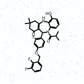 CC(C)C(=O)N1c2cccc(O)c2NC2=C(C(=O)CC(C)(C)C2)C1c1ccc(OCc2cccc(F)c2F)cc1F